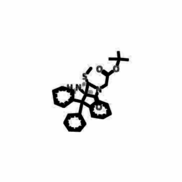 CS[C@H]1N(CC(=O)OC(C)(C)C)C(=O)[C@]1(N)C(c1ccccc1)(c1ccccc1)c1ccccc1